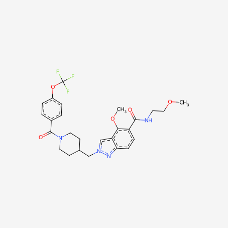 COCCNC(=O)c1ccc2nn(CC3CCN(C(=O)c4ccc(OC(F)(F)F)cc4)CC3)cc2c1OC